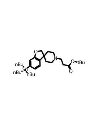 CCC[CH2][Sn]([CH2]CCC)([CH2]CCC)[c]1ccc2c(c1)OCC21CCN(CCC(=O)OC(C)(C)C)CC1